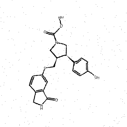 CC(C)(C)OC(=O)N1C[C@H](COc2ccc3c(c2)C(=O)NC3)[C@H](c2ccc(O)cc2)C1